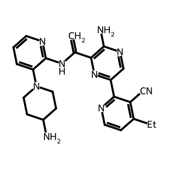 C=C(Nc1ncccc1N1CCC(N)CC1)c1nc(-c2nccc(CC)c2C#N)cnc1N